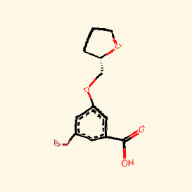 O=C(O)c1cc(Br)cc(OC[C@@H]2CCCO2)c1